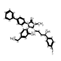 CN1C(=S)N(c2ccc(-c3ccccc3)cc2)[C@H](c2ccc(CO)cc2O)[C@H]1CCC[C@@H](O)c1ccc(F)cc1